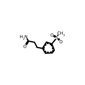 CS(=O)(=O)c1cccc([CH]CC(N)=O)c1